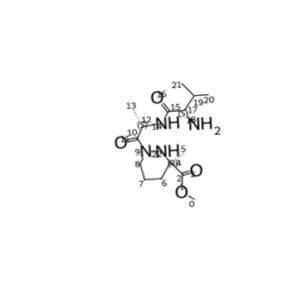 COC(=O)[C@@]1(C)CCCN(C(=O)[C@H](C)NC(=O)[C@@H](N)C(C)C)N1